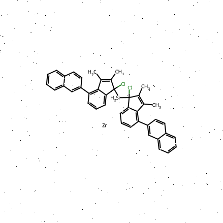 CC1=C(C)C(Cl)([SiH2]C2(Cl)C(C)=C(C)c3c(-c4ccc5ccccc5c4)cccc32)c2cccc(-c3ccc4ccccc4c3)c21.[Zr]